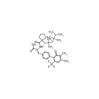 Cc1cc(C(F)(F)F)c(-c2ccc(C[C@H](NC(=O)C3(CC(C)(C)CC(C)(C)C(C)C)CCCC3)C(=O)O)cc2)c(=O)n1C